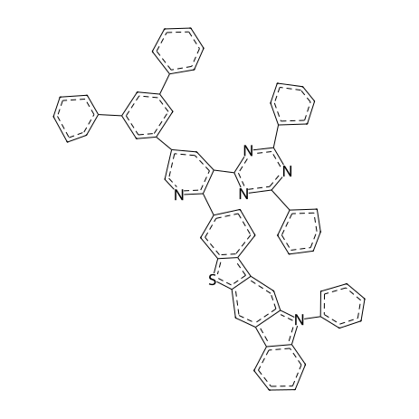 c1ccc(-c2cc(-c3ccccc3)cc(-c3cnc(-c4ccc5c(c4)sc4cc6c7ccccc7n(-c7ccccc7)c6cc45)c(-c4nc(-c5ccccc5)nc(-c5ccccc5)n4)c3)c2)cc1